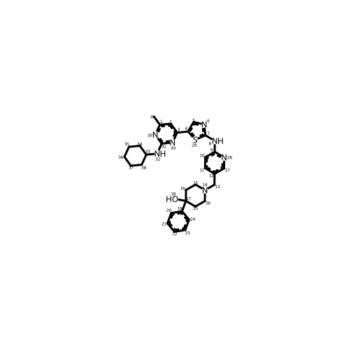 Cc1cc(-c2cnc(Nc3ccc(CN4CCC(O)(c5ccccc5)CC4)cn3)s2)nc(NC2CCCCC2)n1